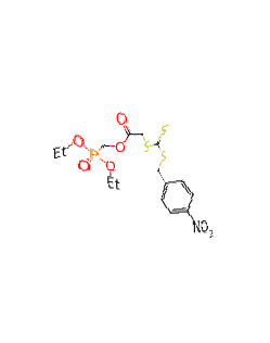 CCOP(=O)(COC(=O)CSC(=S)SCc1ccc([N+](=O)[O-])cc1)OCC